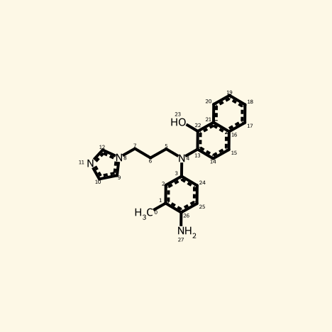 Cc1cc(N(CCCn2ccnc2)c2ccc3ccccc3c2O)ccc1N